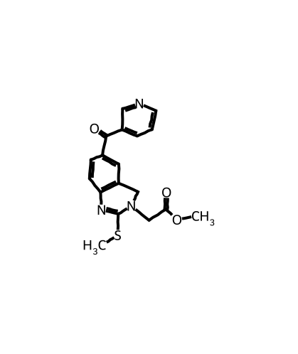 COC(=O)CN1Cc2cc(C(=O)c3cccnc3)ccc2N=C1SC